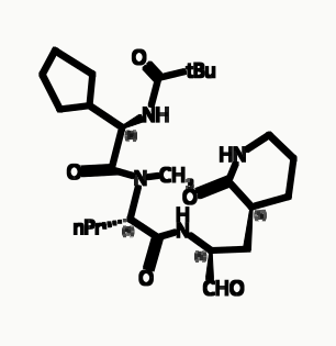 CCC[C@@H](C(=O)N[C@H](C=O)C[C@@H]1CCCNC1=O)N(C)C(=O)[C@H](NC(=O)C(C)(C)C)C1CCCC1